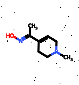 CC(=NO)C1=CCN(C)CC1